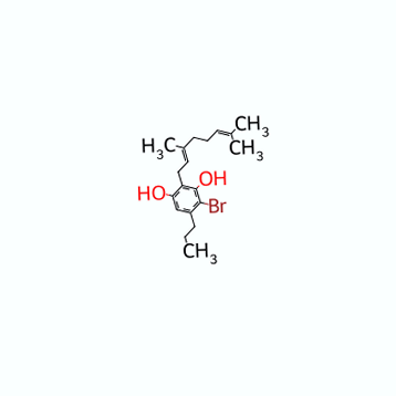 CCCc1cc(O)c(C/C=C(\C)CCC=C(C)C)c(O)c1Br